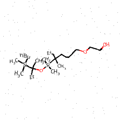 CCCC[Si](C)(C)C(C)(CC)O[Si](C)(C)C(C)(CC)CCCOCCO